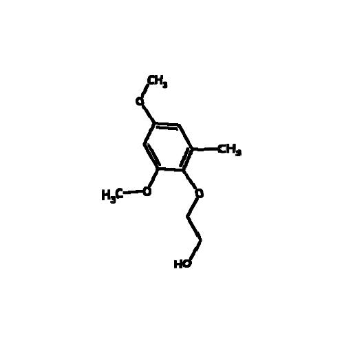 COc1cc(C)c(OCCO)c(OC)c1